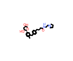 Cc1ccc([C@@H]2OCC(O)CC2O)cc1Cc1ccc(CCCC(=O)NCCN2CCCC2)cc1